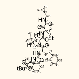 CCC1C[C@@]1(NC(=O)[C@@H]1[C@@H]2[C@H](CN1C(=O)[C@@H](NC(=O)NC1([C@@H](C)S(=O)(=O)C(C)(C)C)CCCCC1)C1Cc3ccccc3C1)C2(C)C)C(=O)C(=O)NCC1CC1